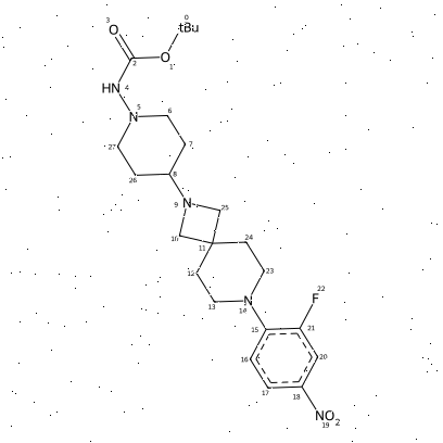 CC(C)(C)OC(=O)NN1CCC(N2CC3(CCN(c4ccc([N+](=O)[O-])cc4F)CC3)C2)CC1